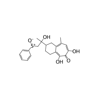 Cc1cc(O)c(=O)c(O)c2c1CC(C(C)(O)C[S+]([O-])c1ccccc1)CC2